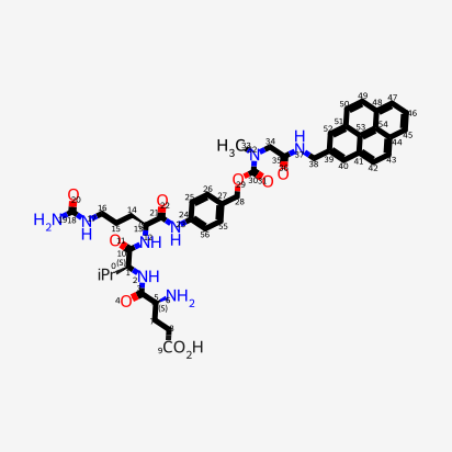 CC(C)[C@H](NC(=O)[C@@H](N)CCC(=O)O)C(=O)N[C@@H](CCCNC(N)=O)C(=O)Nc1ccc(COC(=O)N(C)CC(=O)NCc2cc3ccc4cccc5ccc(c2)c3c45)cc1